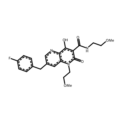 COCCNC(=O)c1c(O)c2ncc(Cc3ccc(F)cc3)cc2n(CCOC)c1=O